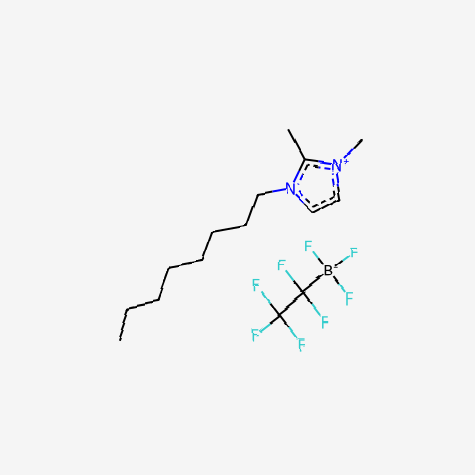 CCCCCCCCn1cc[n+](C)c1C.F[B-](F)(F)C(F)(F)C(F)(F)F